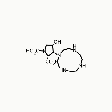 O=C(O)[C@@H]1[C@H](N2CCNCCNCCNCC2)[C@@H](O)CN1C(=O)O